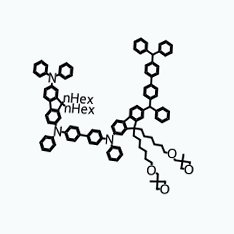 CCCCCCC1(CCCCCC)c2cc(N(c3ccccc3)c3ccccc3)ccc2-c2ccc(N(c3ccccc3)c3ccc(-c4ccc(N(c5ccccc5)c5ccc6c(c5)C(CCCCCCOCC5(C)COC5)(CCCCCCOCC5(C)COC5)c5cc(C(c7ccccc7)c7ccc(-c8ccc(C(c9ccccc9)c9ccccc9)cc8)cc7)ccc5-6)cc4)cc3)cc21